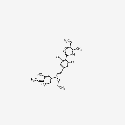 C\C=C/C(O)=C\C(=C/C)P(/C=C/c1cc(Cl)c(C(=O)NC(C)C(=O)OC)c(Cl)c1)OCC